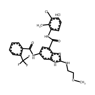 COCCNc1nc2c(C(=O)Nc3cccc(Cl)c3C)cc(NC(=O)c3ccccc3C(F)(F)F)cc2[nH]1.Cl